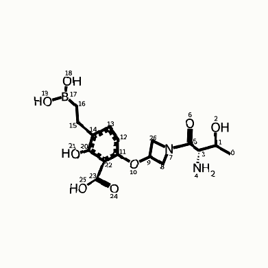 CC(O)[C@H](N)C(=O)N1CC(Oc2ccc(CCB(O)O)c(O)c2C(=O)O)C1